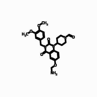 COc1ccc(Cn2c(=O)c3cc(OCN)ccc3n(C3CCN(C=O)CC3)c2=O)cc1OC